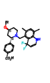 CCO[C@H]1CCN(Cc2c(C)cc(C)c3c2C(F)(F)C=CN3)[C@H](c2ccc(C(=O)O)cc2)C1